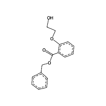 O=C(OCc1ccccc1)c1ccccc1OCCO